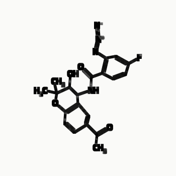 CC(=O)c1ccc2c(c1)C(NC(=O)c1ccc(F)cc1N=[N+]=[N-])C(O)C(C)(C)O2